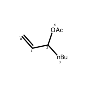 [CH]=CC(CCCC)OC(C)=O